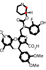 COc1ccc([C@H](Cc2c(Cl)c[n+]([O-])cc2Cl)c2cc(CN(C(=O)O[C@H]3CN4CCC3CC4)c3cccc(O)c3F)sc2C(=O)O)cc1OC